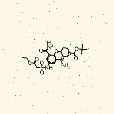 CCOC(=O)CS(=O)(=O)Nc1cc(C(N)=O)c(OC2CCN(C(=O)OC(C)(C)C)CC2)c(C(N)=O)c1